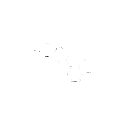 CCC(C)c1cccc(C(=O)N[C@@H](CCS)C(=O)OC)c1OC